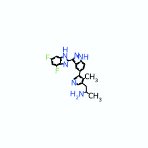 Cc1c(CC(C)N)cncc1-c1ccc2[nH]nc(-c3nc4c(F)cc(F)cc4[nH]3)c2c1